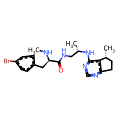 CN[C@H](Cc1ccc(Br)cc1)C(=O)NC[C@H](C)Nc1ncnc2c1[C@H](C)CC2